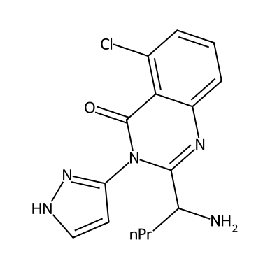 CCCC(N)c1nc2cccc(Cl)c2c(=O)n1-c1cc[nH]n1